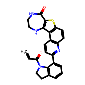 C=CC(=O)N1CCc2cccc(-c3ccc4c(ccc5sc6c(c54)NCCNC6=O)n3)c21